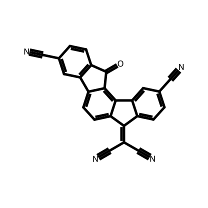 N#CC(C#N)=C1c2ccc(C#N)cc2-c2c1ccc1c2C(=O)c2ccc(C#N)cc2-1